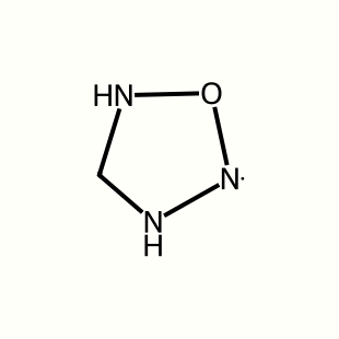 C1N[N]ON1